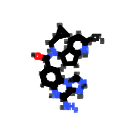 Nc1nc2ccc(C(=O)N(CC3CC3)C3CCc4nc(C(F)(F)F)ccc43)cc2n2cnnc12